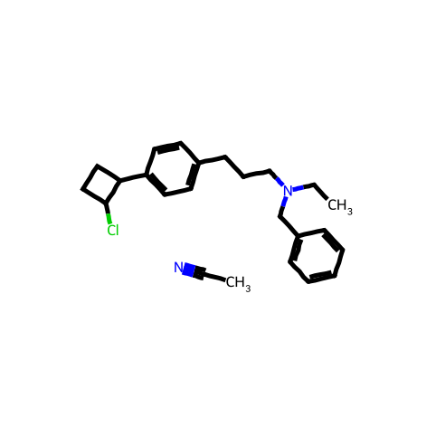 CC#N.CCN(CCCc1ccc(C2CCC2Cl)cc1)Cc1ccccc1